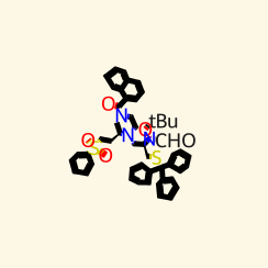 CC(C)(C)ON(C=O)[C@@H](CSC(c1ccccc1)(c1ccccc1)c1ccccc1)CN1CCN(C(=O)c2cccc3ccccc23)C[C@@H]1CCS(=O)(=O)c1ccccc1